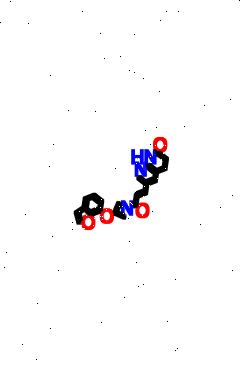 O=C1CCc2cc(C=CC(=O)N3CC(Oc4cccc5ccoc45)C3)cnc2N1